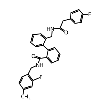 Cc1ccc(CNC(=O)c2ccccc2-c2ccccc2CNC(=O)Cc2ccc(F)cc2)c(F)c1